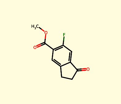 COC(=O)c1cc2c(cc1F)C(=O)CC2